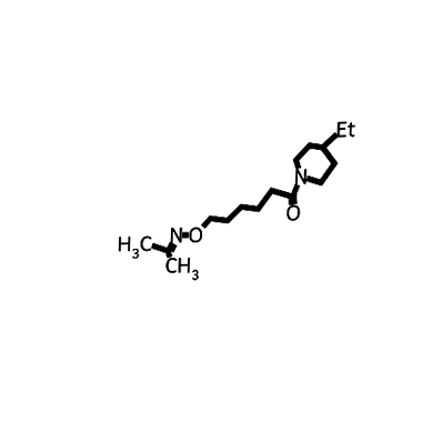 CCC1CCN(C(=O)CCCCCON=C(C)C)CC1